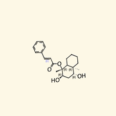 C[C@@]12CCCCC1[C@@](C)(OC(=O)/C=C/c1ccccc1)[C@H](O)C[C@H]2O